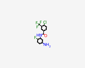 Nc1ccc(F)c(NC(=O)c2ccc(Cl)c(C(F)(F)F)c2)c1